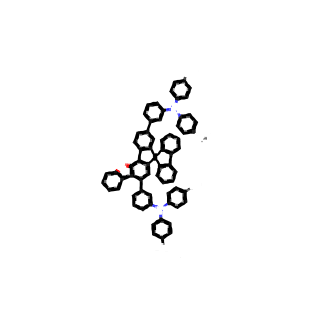 C[SiH2]c1ccc(N(c2ccc(C(C)(C)C)cc2)c2cccc(-c3ccc4c(c3)C3(c5ccccc5-c5ccccc53)c3cc(-c5cccc(N(c6ccc([SiH2]C)cc6)c6ccc(C(C)(C)C)cc6)c5)c5c(oc6ccccc65)c3-4)c2)cc1